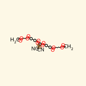 C=CC(=O)OCCCCCCOC(=O)C1CCC(C2CCC(C(=O)Oc3ccc(OC(=O)C4CCC(C5CCC(C(=O)OCCCCOC(=O)C=C)CC5)CC4)c4c3SC(=C(C#N)C#N)S4)CC2)CC1